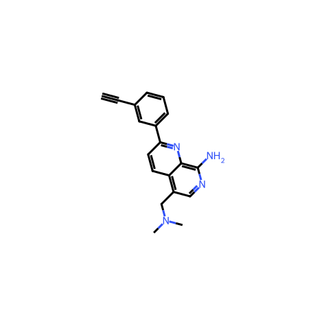 C#Cc1cccc(-c2ccc3c(CN(C)C)cnc(N)c3n2)c1